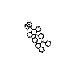 C1=CC(N(c2cccc(C3(c4ccccc4)c4ccccc4C4(c5ccccc5)c5ccccc5-c5cccc3c54)c2)c2cccc3ccccc23)=CCC1